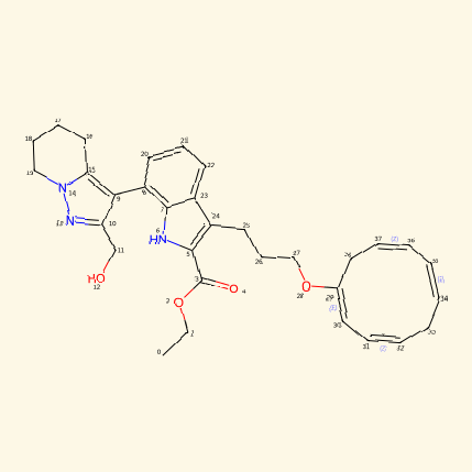 CCOC(=O)c1[nH]c2c(-c3c(CO)nn4c3CCCC4)cccc2c1CCCO/C1=C/C=C\C/C=C\C=C/C1